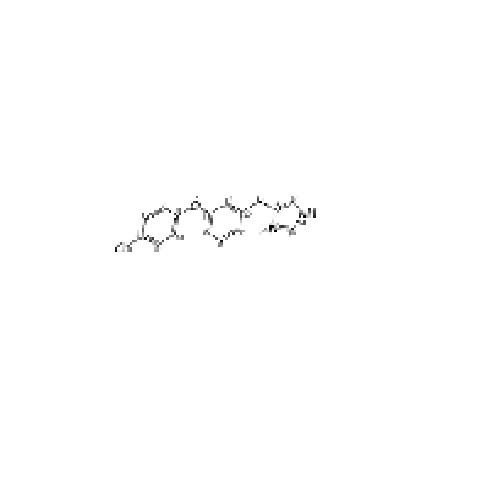 Clc1ccc(Oc2cccc(Cc3c[nH]cn3)c2)cc1